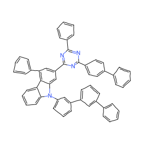 c1ccc(-c2ccc(-c3nc(-c4ccccc4)nc(-c4cc(-c5ccccc5)c5c6ccccc6n(-c6cccc(-c7cccc(-c8ccccc8)c7)c6)c5c4)n3)cc2)cc1